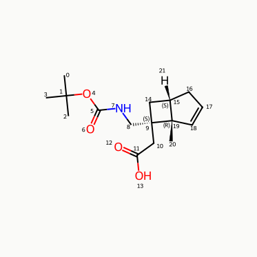 CC(C)(C)OC(=O)NC[C@]1(CC(=O)O)C[C@@H]2CC=C[C@@]21C